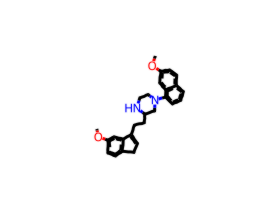 COc1ccc2c(c1)C(CCC1CN(c3cccc4ccc(OC)cc34)CCN1)=CC2